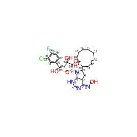 O/N=C1/N=CNC2C1CC(C1CCCCCCCCC1)N2[C@@H]1O[C@H]([C@H](O)c2ccc(F)c(Cl)c2)[C@@H](O)[C@H]1O